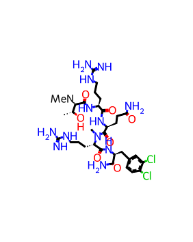 CN[C@H](C(=O)N[C@@H](CCCNC(=N)N)C(=O)N[C@@H](CCC(N)=O)C(=O)N(C)[C@@H](CCCNC(=N)N)C(=O)N[C@@H](Cc1ccc(Cl)c(Cl)c1)C(N)=O)[C@@H](C)O